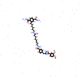 COc1ccc(-c2nc(Cc3ccc(C(=O)NCCCCCCCC(=O)NCCCCCCc4cc(C(N)=O)ccc4C(N)=O)cc3)no2)cc1OC